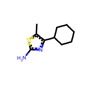 Cc1sc(N)nc1C1CCCCC1